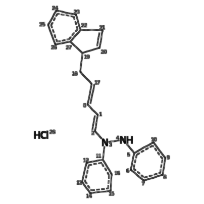 C(C=CN(Nc1ccccc1)c1ccccc1)=CCC1C=Cc2ccccc21.Cl